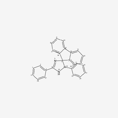 c1ccc(C2=NC3(c4ccccc4-c4ccccc43)N(c3ccccc3)N2)cc1